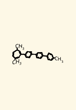 CC1=CC(c2ccc(-c3ccc(-c4ccc(C)cc4)cc3)cc2)=CC(C)C=C1